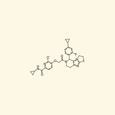 O=C(NC1CC1)c1ccc(OCC(=O)N2CCc3nc4n(c3C2c2ccc(C3CC3)cc2F)CCS4)c(Cl)n1